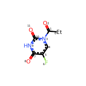 CCC(=O)n1cc(F)c(=O)[nH]c1=O